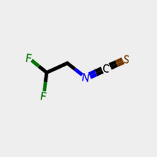 FC(F)CN=C=S